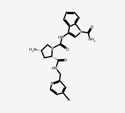 Cc1ccnc(CNC(=O)[C@@H]2C[C@H](N)CN2C(=O)Nc2cn(C(N)=O)c3ccccc23)c1